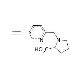 [C]#Cc1ccc(CN2CCCC2C(=O)O)nc1